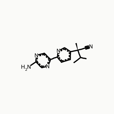 CC(C)[C@@](C)(C#N)c1ccc(-c2cnc(N)cn2)nc1